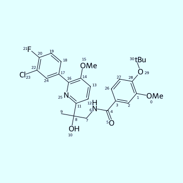 COc1cc(C(=O)NCC(C)(O)c2ccc(OC)c(-c3ccc(F)c(Cl)c3)n2)ccc1OC(C)(C)C